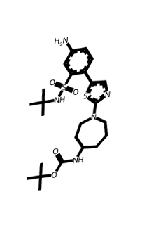 CC(C)(C)NS(=O)(=O)c1cc(N)ccc1-c1cnc(N2CCCC(NC(=O)OC(C)(C)C)CC2)s1